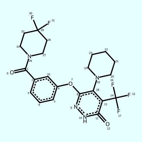 O=C(c1cccc(Oc2n[nH]c(=O)c(C(F)(F)F)c2N2CCCCC2)c1)N1CCC(F)(F)CC1